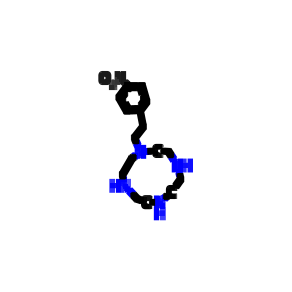 O=[N+]([O-])c1ccc(CCN2CCNCCNCCNCC2)cc1